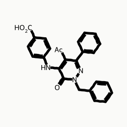 CC(=O)c1c(-c2ccccc2)nn(Cc2ccccc2)c(=O)c1Nc1ccc(C(=O)O)cc1